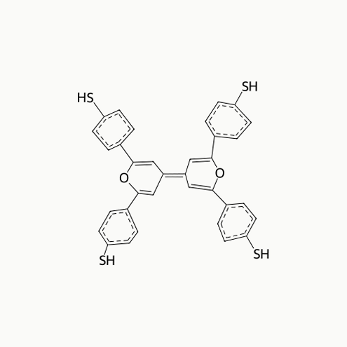 Sc1ccc(C2=CC(=C3C=C(c4ccc(S)cc4)OC(c4ccc(S)cc4)=C3)C=C(c3ccc(S)cc3)O2)cc1